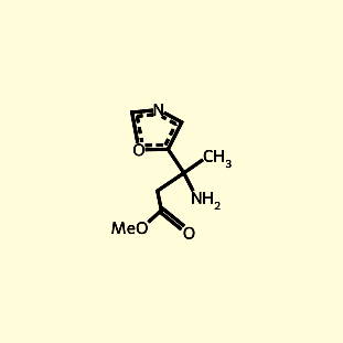 COC(=O)CC(C)(N)c1cnco1